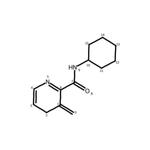 C=C1CC=CN=C1C(=O)NC1CCCCC1